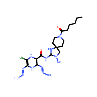 CCCCCC(=O)N1CCC2(CC1)CN(N)C(NC(=O)C1NC(Cl)=C(N=NN)NC1N=NN)N2